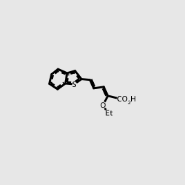 CCOC(=CC=Cc1cc2ccccc2s1)C(=O)O